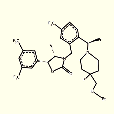 CCOCC1(F)CCN([C@@H](c2ccc(C(F)(F)F)cc2CN2C(=O)O[C@H](c3cc(C(F)(F)F)cc(C(F)(F)F)c3)[C@@H]2C)C(C)C)CC1